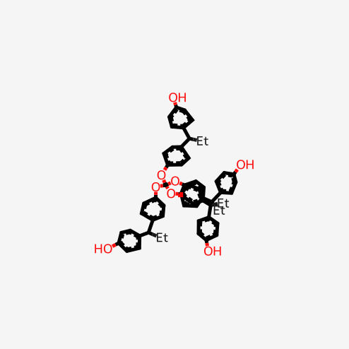 CCC(c1ccc(O)cc1)c1ccc(OC(Oc2ccc(C(CC)c3ccc(O)cc3)cc2)(Oc2ccc(C(CC)c3ccc(O)cc3)cc2)Oc2ccc(C(CC)c3ccc(O)cc3)cc2)cc1